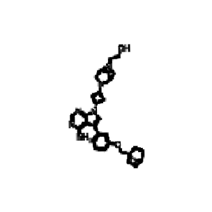 Nc1ncnc2c1c(-c1cccc(OCC34CCC(CC3)O4)c1)cn2[C@H]1C[C@@H](N2CC3CC2CN3CCO)C1